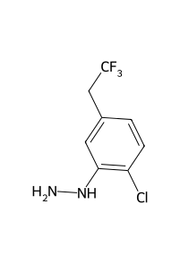 NNc1cc(CC(F)(F)F)ccc1Cl